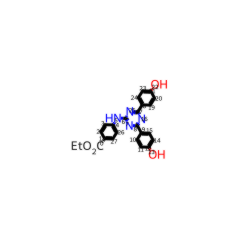 CCOC(=O)c1ccc(Nc2nc(-c3ccc(O)cc3)nc(-c3ccc(O)cc3)n2)cc1